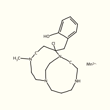 CN1CCN2CCCNCCN(CC2)C(Cl)(Cc2ccccc2O)CC1.[Mn+2]